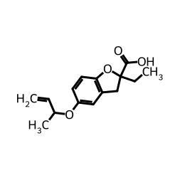 C=CC(C)Oc1ccc2c(c1)CC(CC)(C(=O)O)O2